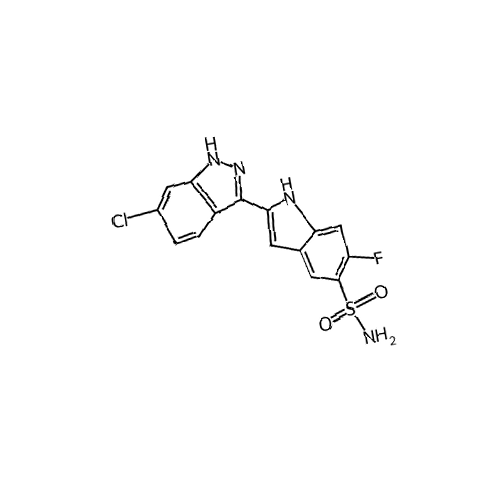 NS(=O)(=O)c1cc2cc(-c3n[nH]c4cc(Cl)ccc34)[nH]c2cc1F